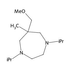 COCC1(C)CN(C(C)C)CCN(C(C)C)C1